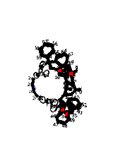 CC1C=C2C(C)C3=C1C(C)C=C(C3C)C1(c3ccccc3)OP(OC/C=C\COP3OC2(c2ccccc2)C(c2ccccc2)(c2ccccc2)O3)OC1(c1ccccc1)c1ccccc1